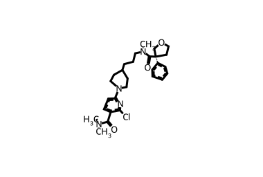 CN(C)C(=O)c1ccc(N2CCC(CCCN(C)C(=O)[C@]3(c4ccccc4)CCOC3)CC2)nc1Cl